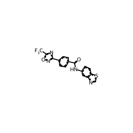 O=C(Nc1ccc2scnc2c1)c1ccc(-c2noc(C(F)(F)F)n2)cc1